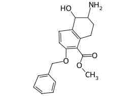 COC(=O)c1c(OCc2ccccc2)ccc2c1CCC(N)C2O